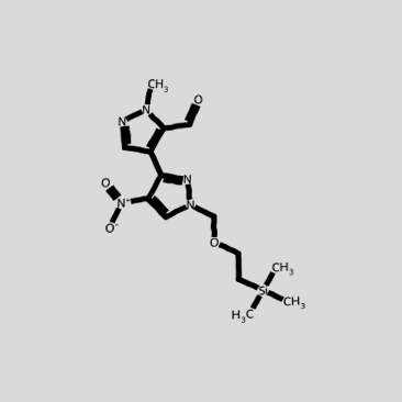 Cn1ncc(-c2nn(COCC[Si](C)(C)C)cc2[N+](=O)[O-])c1C=O